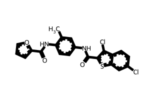 Cc1cc(NC(=O)c2sc3cc(Cl)ccc3c2Cl)ccc1NC(=O)c1ccco1